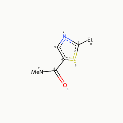 CCc1ncc(C(=O)NC)s1